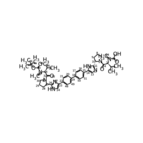 CC(C)[C@@H](C(=O)N1CCC[C@H]1c1ncc(-c2ccc(-c3ccc(-c4c[nH]c(C5CCCN5C(=O)[C@H](C(C)C)N(C)C(=O)OC(C)(C)C)n4)cc3)cc2)[nH]1)N(C)C(=O)O